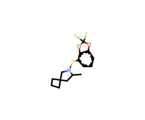 CC1CC2(CCC2)CN1Sc1cccc2c1OC(F)(F)O2